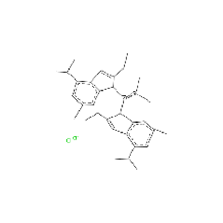 CCC1=Cc2c(C(C)C)cc(C)cc2[CH]1[Zr+2]([CH]1C(CC)=Cc2c(C(C)C)cc(C)cc21)=[Si](C)C.[Cl-].[Cl-]